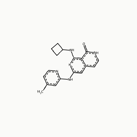 Cc1ccnc(Nc2cc3cc[nH]c(=O)c3c(NC3CCC3)n2)c1